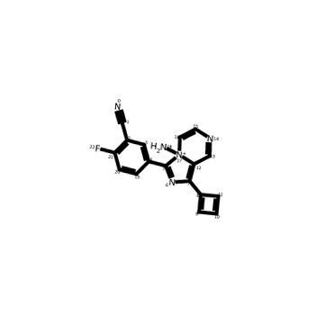 N#Cc1cc(C2=NC(C3=CC=C3)=C3C=NC=C[N+]23N)ccc1F